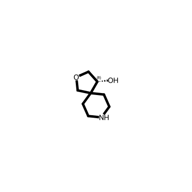 O[C@H]1COCC12CCNCC2